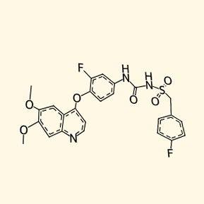 COc1cc2nccc(Oc3ccc(NC(=O)NS(=O)(=O)Cc4ccc(F)cc4)cc3F)c2cc1OC